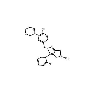 CN1Cc2nn(Cc3ccc(O)c(C4=CCCOC4)c3)c(-c3ccccc3F)c2C1